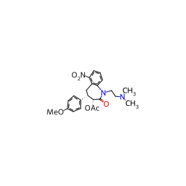 COc1ccc([C@@H]2Cc3c(cccc3[N+](=O)[O-])N(CCN(C)C)C(=O)[C@@H]2OC(C)=O)cc1